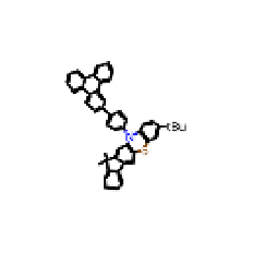 CC(C)(C)c1ccc2c(c1)Sc1cc3c(cc1N2c1ccc(-c2ccc4c5ccccc5c5ccccc5c4c2)cc1)C(C)(C)c1ccccc1-3